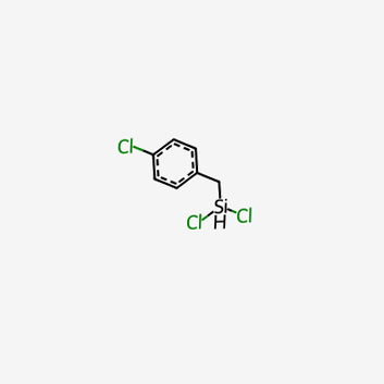 Clc1ccc(C[SiH](Cl)Cl)cc1